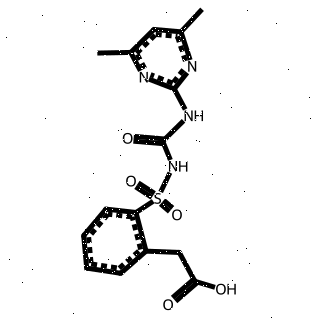 Cc1cc(C)nc(NC(=O)NS(=O)(=O)c2ccccc2CC(=O)O)n1